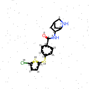 O=C(NC1CC2CNC1C2)c1ccc(Sc2ccc(Cl)s2)cc1